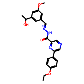 CCOc1ccc(-c2cncc(C(=O)N/N=C/c3cc(OC)cc(C(C)O)c3)n2)cc1